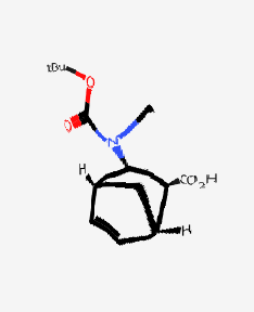 CN(C(=O)OC(C)(C)C)[C@H]1[C@@H](C(=O)O)[C@@H]2C=C[C@H]1C2